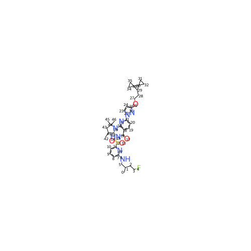 CC(CCF)CNc1cccc(S(=O)(=O)NC(=O)c2ccc(-n3ccc(OCCC4C5(CC5)C45CC5)n3)nc2N2CC(C)CC2(C)C)n1